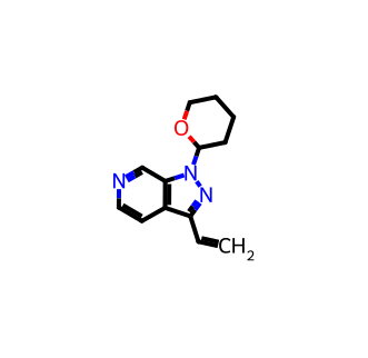 C=Cc1nn(C2CCCCO2)c2cnccc12